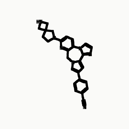 N#Cc1ccc(-c2cc3n(c2)Cc2nc(N4CCC5(CNC5)C4)ccc2-n2ccnc2-3)cc1